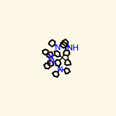 c1ccc(N(c2ccccc2)c2cc(N(c3ccccc3)c3ccccc3)cc(C3(c4cc(N(c5ccccc5)c5ccccc5)cc(N(c5ccccc5)c5ccccc5)c4)c4ccccc4-c4cc5[nH]c6ccccc6c5cc43)c2)cc1